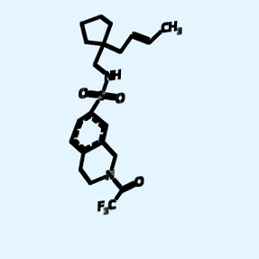 CC=CCC1(CNS(=O)(=O)c2ccc3c(c2)CN(C(=O)C(F)(F)F)CC3)CCCC1